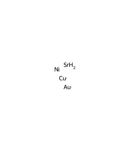 [Au].[Cu].[Ni].[SrH2]